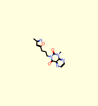 Cc1cc(CCCn2c(=O)c3nccnc3n(C)c2=O)on1